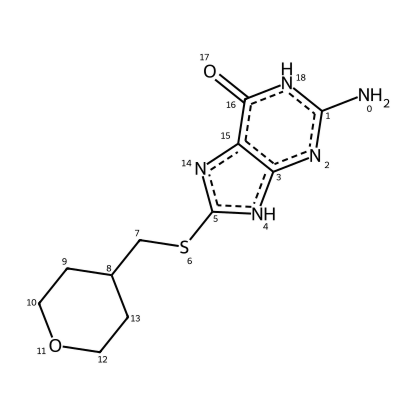 Nc1nc2[nH]c(SCC3CCOCC3)nc2c(=O)[nH]1